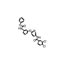 O=C(Nc1cccc(Oc2ccc(NC(=O)c3ccc(Cl)c(Cl)c3)cn2)c1)Oc1ccccc1